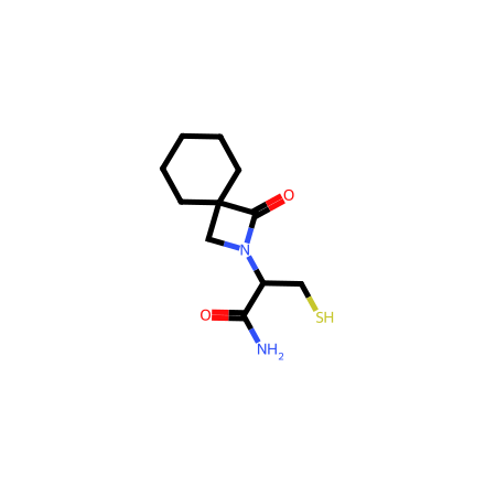 NC(=O)C(CS)N1CC2(CCCCC2)C1=O